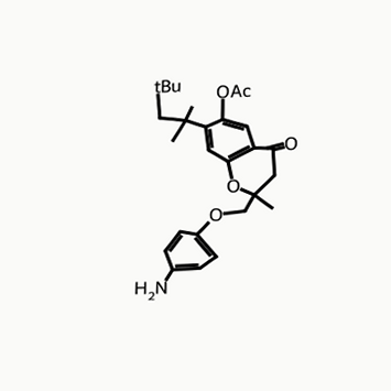 CC(=O)Oc1cc2c(cc1C(C)(C)CC(C)(C)C)OC(C)(COc1ccc(N)cc1)CC2=O